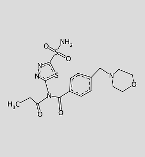 CCC(=O)N(C(=O)c1ccc(CN2CCOCC2)cc1)c1nnc(S(N)(=O)=O)s1